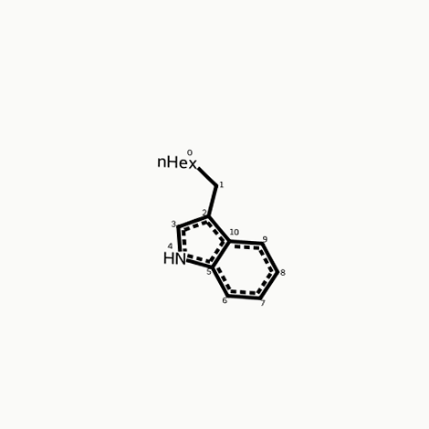 CCCCCCCc1c[nH]c2ccccc12